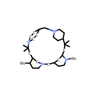 CC(C)(C)C1CCN2CC3CCN(C(C)(C)C)C(C3)CC(C)(C)C3CCN(CC3)CC3CCN(CC3)C(C)(C)CC1C2